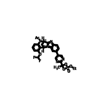 CCOP1(=O)OC(C)(c2ncc(-c3ccc4nc5n(c4c3)[C@@H]3C[C@H]5N(C(C)=O)c4cccc(OC(F)F)c43)cn2)O1